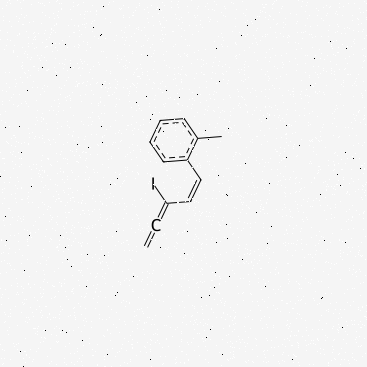 C=C=C(I)/C=C\c1ccccc1C